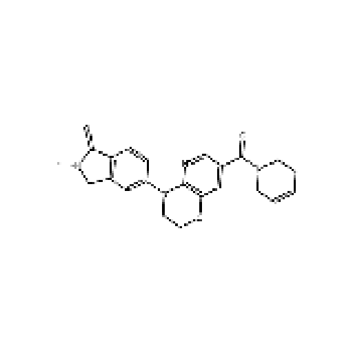 CN1Cc2cc(N3CCOc4cc(C(=O)N5CC=CCC5)cnc43)ccc2C1=O